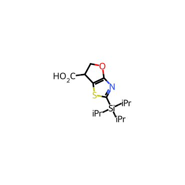 CC(C)[Si](c1nc2c(s1)C(C(=O)O)CO2)(C(C)C)C(C)C